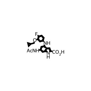 CC(=O)Nc1cc(Nc2ccc(F)c(OCC3CC3)c2)c2cc(C(=O)O)[nH]c2c1